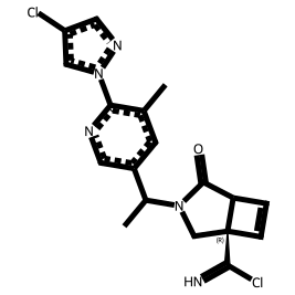 Cc1cc(C(C)N2C[C@@]3(C(=N)Cl)C=CC3C2=O)cnc1-n1cc(Cl)cn1